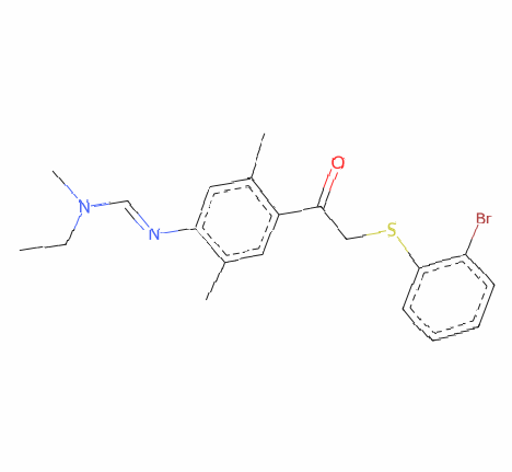 CCN(C)C=Nc1cc(C)c(C(=O)CSc2ccccc2Br)cc1C